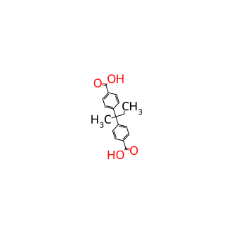 CCC(C)(c1ccc(C(=O)O)cc1)c1ccc(C(=O)O)cc1